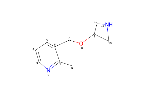 Cc1ncccc1COC1CNC1